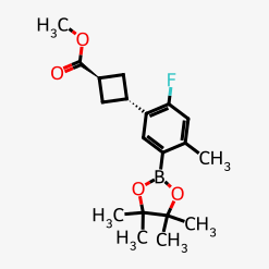 COC(=O)[C@H]1C[C@H](c2cc(B3OC(C)(C)C(C)(C)O3)c(C)cc2F)C1